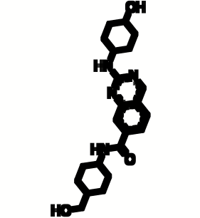 O=C(NC1CCC(CO)CC1)c1ccc2cnc(NC3CCC(O)CC3)nc2c1